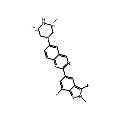 C[C@@H]1CN(c2ccc3nc(-c4cc(F)c5nn(C)c(F)c5c4)ncc3c2)C[C@H](C)N1